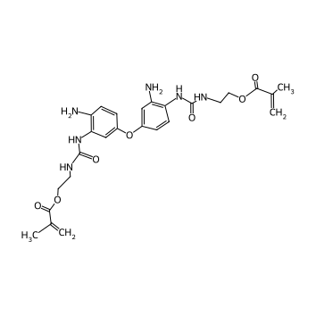 C=C(C)C(=O)OCCNC(=O)Nc1ccc(Oc2ccc(N)c(NC(=O)NCCOC(=O)C(=C)C)c2)cc1N